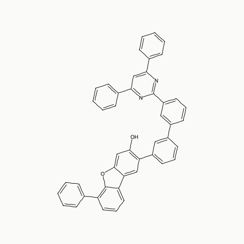 Oc1cc2oc3c(-c4ccccc4)cccc3c2cc1-c1cccc(-c2cccc(-c3nc(-c4ccccc4)cc(-c4ccccc4)n3)c2)c1